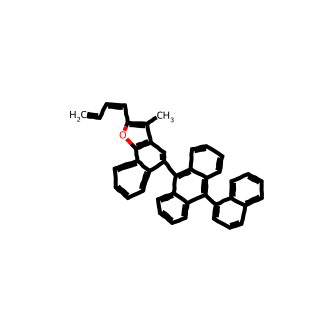 C=C/C=C\c1oc2c(cc(-c3c4ccccc4c(-c4cccc5ccccc45)c4ccccc34)c3ccccc32)c1C